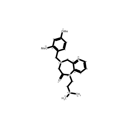 COc1ccc(CN2CC(=O)N(CCN(C)C)c3cccnc3C2)c(OC)c1